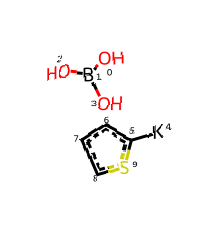 OB(O)O.[K][c]1cccs1